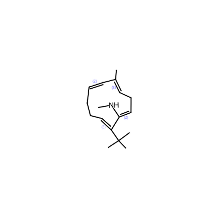 CNC1=C\C/C=C(C)/C=C\CC\C=C\1C(C)(C)C